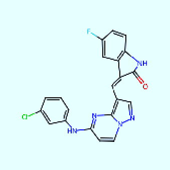 O=C1Nc2ccc(F)cc2C1=Cc1cnn2ccc(Nc3cccc(Cl)c3)nc12